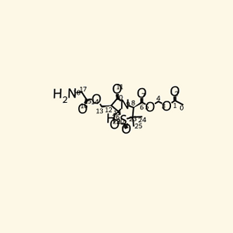 CC(=O)OCOC(=O)[C@@H]1N2C(=O)[C@H](COC(=O)CN)[C@H]2S(=O)(=O)C1(C)C